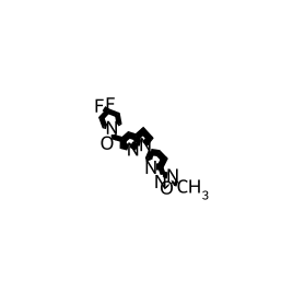 Cc1nc(-c2ccc(-n3ccc4cc(C(=O)N5CCC(F)(F)CC5)cnc43)cn2)no1